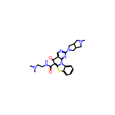 CN(C)CCNC(=O)c1c(=O)c2cnc(N3CC4CN(C)CC4C3)nc2n2c1sc1ccccc12